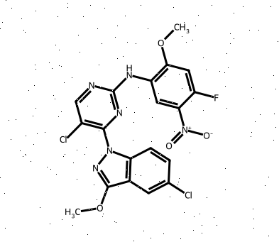 COc1cc(F)c([N+](=O)[O-])cc1Nc1ncc(Cl)c(-n2nc(OC)c3cc(Cl)ccc32)n1